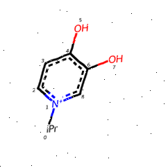 CC(C)[n+]1ccc(O)c(O)c1